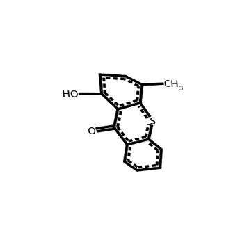 Cc1ccc(O)c2c(=O)c3ccccc3sc12